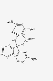 COc1cccc(C2(c3ccccc3)CC(=O)c3c(OC)cc(OC)cc3O2)c1